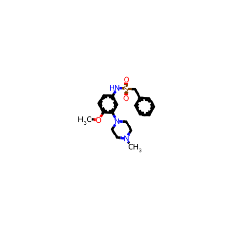 COc1ccc(NS(=O)(=O)Cc2ccccc2)cc1N1CCN(C)CC1